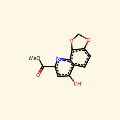 COC(=O)c1cc(O)c2ccc3c(c2n1)OCO3